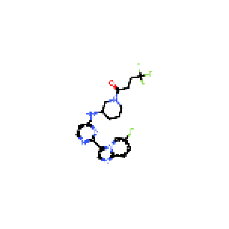 O=C(CCC(F)(F)F)N1CCCC(Nc2ccnc(-c3cnc4ccc(F)cn34)n2)C1